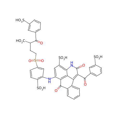 O=C(c1cccc(S(=O)(=O)O)c1)c1c2c3c(c(Nc4cc(S(=O)(=O)CCC(C(=O)O)C(=O)c5cccc(S(=O)(=O)O)c5)ccc4S(=O)(=O)O)cc(S(=O)(=O)O)c3[nH]c1=O)C(=O)c1ccccc1-2